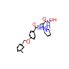 Cc1cccc(COc2ccc(C(=O)NC[C@@H](C(=O)NO)N3CCCC3)cc2)c1